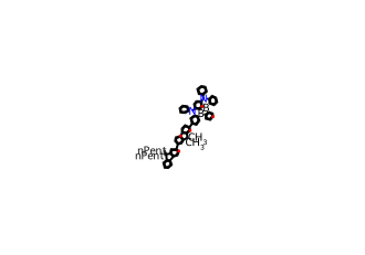 CCCCCC1(CCCCC)c2ccccc2-c2ccc(-c3ccc4c(c3)C(C)(C)c3cc(-c5ccc6c(c5)N(c5ccccc5)c5ccc7c8c5B6c5ccccc5B8c5ccccc5N7c5ccccc5)ccc3-4)cc21